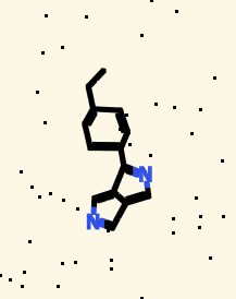 CCc1ccc(C2=NC=C3C=NC=C32)cc1